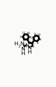 N=C(N)N1NCC(c2ccccc2)=C1c1ccccc1